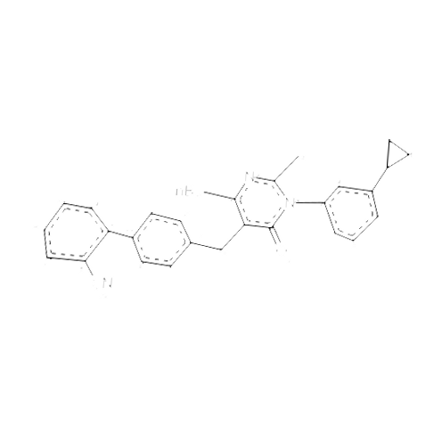 CCCCc1nc(C)n(-c2cccc(C3CC3)c2)c(=O)c1Cc1ccc(-c2ccccc2C#N)cc1